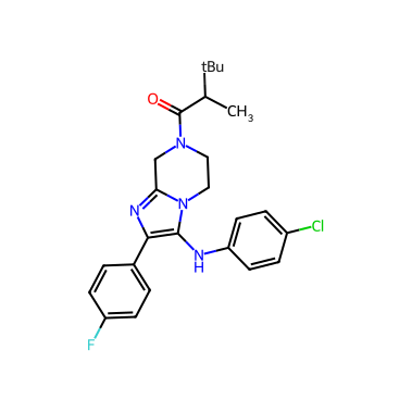 CC(C(=O)N1CCn2c(nc(-c3ccc(F)cc3)c2Nc2ccc(Cl)cc2)C1)C(C)(C)C